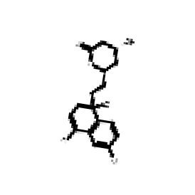 O=C1C[C@H](O)C[C@@H](CCC2(Cl)CC=C(Cl)c3cc(Cl)ccc32)O1